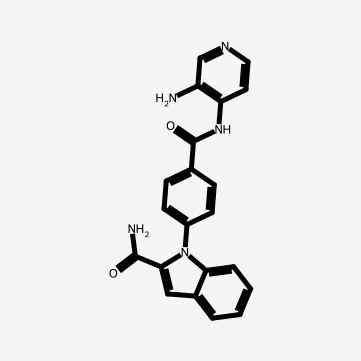 NC(=O)c1cc2ccccc2n1-c1ccc(C(=O)Nc2ccncc2N)cc1